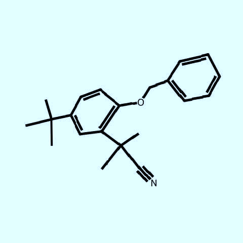 CC(C)(C)c1ccc(OCc2ccccc2)c(C(C)(C)C#N)c1